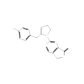 Cc1ccc(CC2CCCN2c2ncc3c(n2)C(=O)NC3)cc1